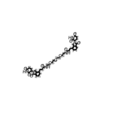 O=C(/C=C/c1cccc2c1CN(C1CCC(=O)NC1=O)C2=O)NCCOCCOCCOCCNC(=O)/C=C/c1cccc2c1CN(C1CCC(=O)NC1=O)C2=O